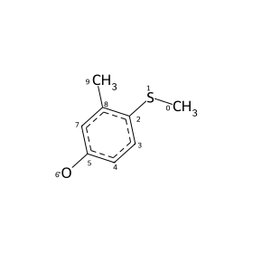 CSc1ccc([O])cc1C